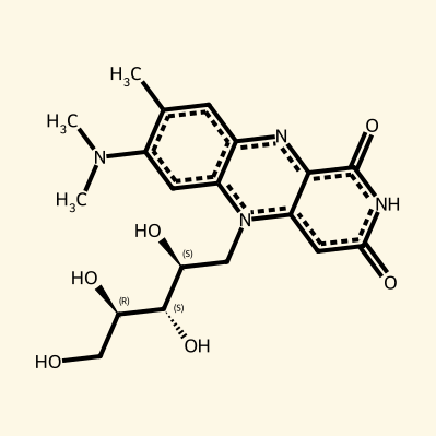 Cc1cc2nc3c(=O)[nH]c(=O)cc-3n(C[C@H](O)[C@H](O)[C@H](O)CO)c2cc1N(C)C